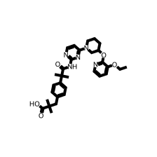 CCOc1cccnc1OC1CCCN(c2ccnc(NC(=O)C(C)(C)c3ccc(CC(C)(C)C(=O)O)cc3)n2)C1